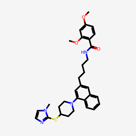 COc1ccc(C(=O)NCCCCc2cc(N3CCC(Sc4nccn4C)CC3)c3ccccc3c2)c(OC)c1